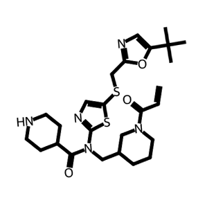 C=CC(=O)N1CCCC(CN(C(=O)C2CCNCC2)c2ncc(SCc3ncc(C(C)(C)C)o3)s2)C1